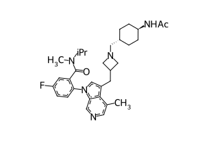 CC(=O)N[C@H]1CC[C@H](CN2CC(Cc3cn(-c4ccc(F)cc4C(=O)N(C)C(C)C)c4cncc(C)c34)C2)CC1